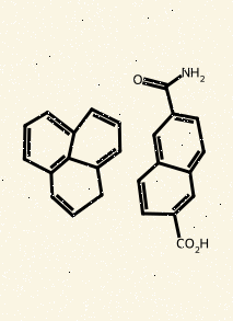 C1=Cc2cccc3cccc(c23)C1.NC(=O)c1ccc2cc(C(=O)O)ccc2c1